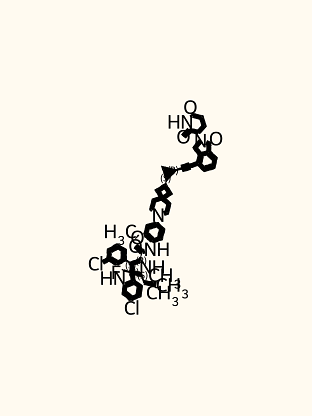 COc1cc(N2CCC3(CC2)CC([C@@H]2C[C@H]2C#Cc2cccc4c2CN(C2CCC(=O)NC2=O)C4=O)C3)ccc1NC(=O)[C@@H]1N[C@@H](CC(C)(C)C)[C@@]2(CNc3cc(Cl)ccc32)[C@H]1c1cccc(Cl)c1F